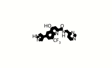 O=C(NCc1ccncn1)c1cc(O)c2cc(-c3cn[nH]c3)cc(C(F)(F)F)c2n1